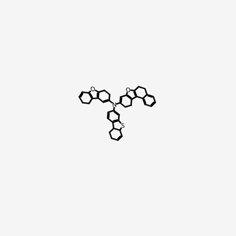 C1=Cc2oc3c(c2CC1)C=C(N(C1=Cc2oc4c(c2CC1)-c1ccccc1CC4)c1ccc2c(c1)SC1C=CCCC21)CC3